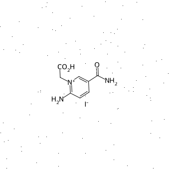 NC(=O)c1ccc(N)[n+](CC(=O)O)c1.[I-]